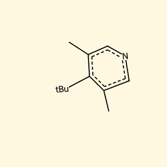 Cc1cncc(C)c1C(C)(C)C